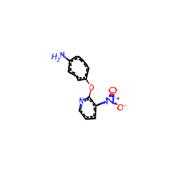 Nc1ccc(Oc2ncccc2[N+](=O)[O-])cc1